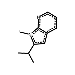 CC(C)c1cc2cccnc2n1I